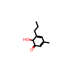 CCCC1=CC(C)=CC(=O)C1O